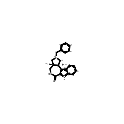 O=C1NC[C@@H]2CN(Cc3ccccc3)C[C@H]2c2c1sc1ccccc21